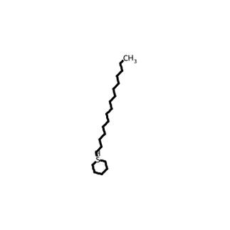 CCCCCCCCCCCCCCCC[SH]1CCCCC1